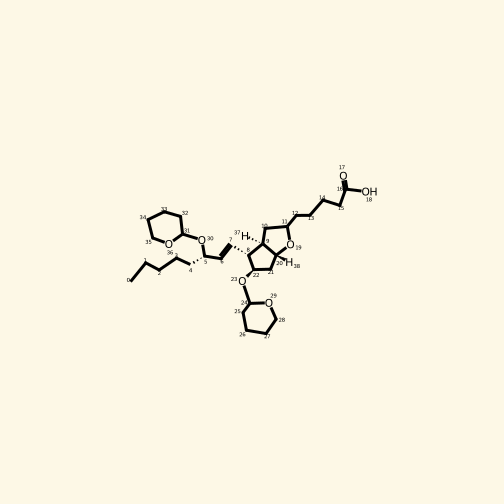 CCCCC[C@@H](/C=C/[C@@H]1[C@H]2CC(CCCCC(=O)O)O[C@@H]2C[C@H]1OC1CCCCO1)OC1CCCCO1